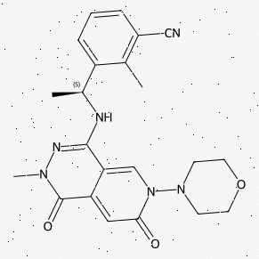 Cc1c(C#N)cccc1[C@H](C)Nc1nn(C)c(=O)c2cc(=O)n(N3CCOCC3)cc12